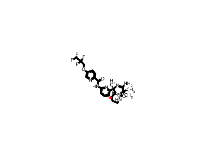 CC1(C)C(N)=N[C@](C)(c2nc(NC(=O)c3ccc(OCC(F)(F)C(F)F)cn3)ccc2F)[C@H]2CCCN[SH]21=O